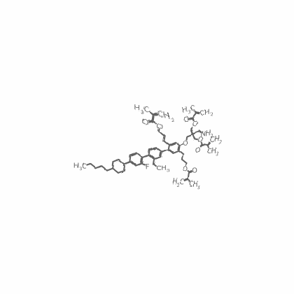 C=C(C)C(=O)OCCCc1cc(-c2ccc(-c3ccc(C4CCC(CCCCC)CC4)cc3F)c(CC)c2)c(CCCOC(=O)C(=C)C)cc1OCC(CN)(COC(=O)C(=C)C)COC(=O)C(=C)C